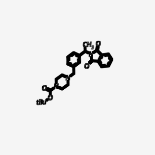 CC(c1cccc(CN2CCN(C(=O)OC(C)(C)C)CC2)c1)N1C(=O)c2ccccc2C1=O